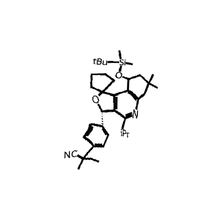 CC(C)c1nc2c(c3c1[C@H](c1ccc(C(C)(C)C#N)cc1)OC31CCCC1)C(O[Si](C)(C)C(C)(C)C)CC(C)(C)C2